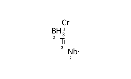 B.[Cr].[Nb].[Ti]